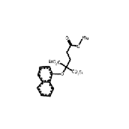 CCOC(=O)C(CCC(=O)OC(C)(C)C)(Oc1cccc2ccccc12)C(=O)OCC